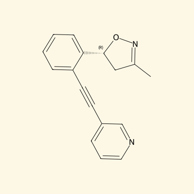 CC1=NO[C@@H](c2ccccc2C#Cc2cccnc2)C1